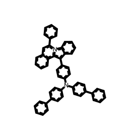 c1ccc(-c2ccc(N(c3ccc(-c4ccccc4)cc3)c3ccc(-c4c5ccccc5n5c(-c6ccccc6)cc6ccccc6c45)cc3)cc2)cc1